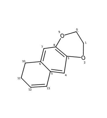 [CH]1COc2cc3c(cc2O1)CCC=C3